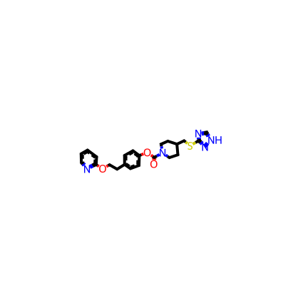 O=C(Oc1ccc(CCOc2ccccn2)cc1)N1CCC(CSc2nc[nH]n2)CC1